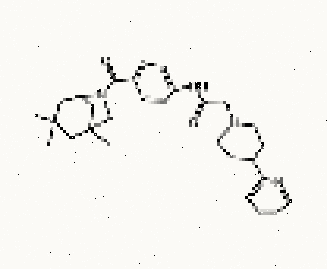 CC1(C)CC2CC(C)(CN2C(=O)c2ccc(NC(=O)CN3CCC(c4ccccn4)CC3)cc2)C1